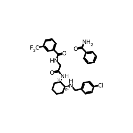 NC(=O)c1ccccc1.O=C(CNC(=O)c1cccc(C(F)(F)F)c1)N[C@H]1CCCC[C@@H]1NCc1ccc(Cl)cc1